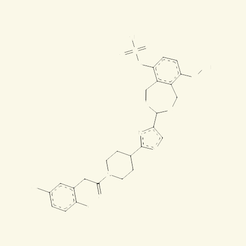 COc1ccc(OS(C)(=O)=O)c2c1COC(c1csc(C3CCN(C(=O)Cc4cc(Cl)ccc4Cl)CC3)n1)OC2